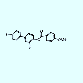 COc1ccc(C(=O)Oc2ccc(-c3ccc(F)cc3)cc2F)cc1